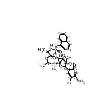 CC(C)OC(=O)[C@@H](C)NP(=O)(Oc1cccc2ccccc12)OC1[C@H]2O[C@@H](n3cc(I)c(N)nc3=O)[C@](C)(O)[C@@]12O